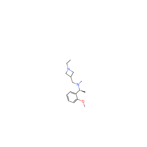 CCN1CC(CN(C)[C@@H](C)c2ccccc2OC)C1